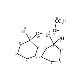 CCC1(O)CCCCC1.CCC1(O)CCCCC1.O=C(O)O